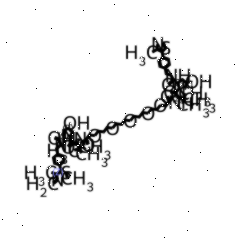 C=N/C(C)=C(\SC)c1ccc(CNC(=O)[C@@H]2C[C@@H](O)CN2C(=O)[C@@H](NC(=O)COCCCOCCCOCCCOCCOCC(=O)N[C@H](C(=O)N2C[C@H](O)C[C@H]2C(=O)NCc2ccc(-c3scnc3C)cc2)C(C)(C)C)C(C)(C)C)cc1